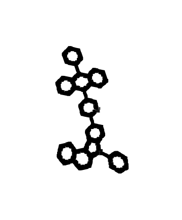 c1ccc(-c2c3ccccc3c(-c3ccc(-c4ccc5c(c4)c4c6ccccc6ccc4n5-c4ccccc4)nc3)c3ccccc23)cc1